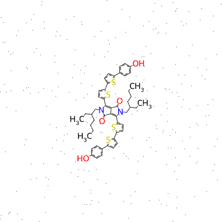 CCCCC(CC)CN1C(=O)C2=C(c3ccc(-c4ccc(-c5ccc(O)cc5)s4)s3)N(CC(CC)CCCC)C(=O)C2=C1c1ccc(-c2ccc(-c3ccc(O)cc3)s2)s1